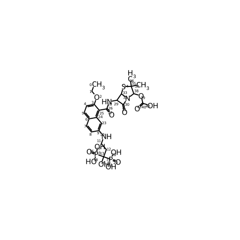 CCOc1ccc2ccc(NCCC(O)(P(=O)(O)O)P(=O)(O)O)cc2c1C(=O)NC1C(=O)N2C1SC(C)(C)C2OC(=O)O